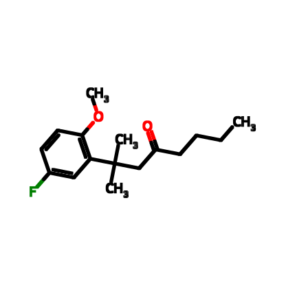 CCCCC(=O)CC(C)(C)c1cc(F)ccc1OC